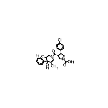 C[C@@H]1CN(C(=O)[C@@H]2CN(C(=O)O)C[C@H]2c2ccc(Cl)cc2)C[C@H](C)C1(O)c1ccccc1